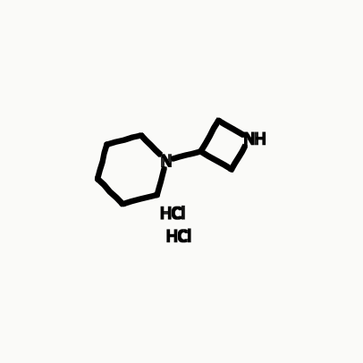 C1CCN(C2CNC2)CC1.Cl.Cl